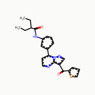 CCC(CC)C(=O)Nc1cccc(-c2ccnc3c(C(=O)c4cccs4)cnn23)c1